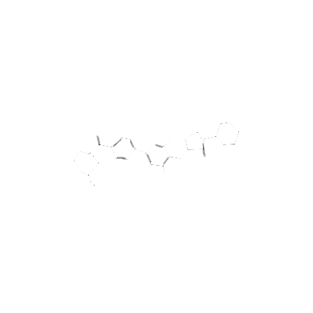 NC1CCCN(C(=O)c2ccc(-c3cc(Cl)c(CC4CCN(C5CCCCC5)C4=O)c(Cl)c3)cc2)C1